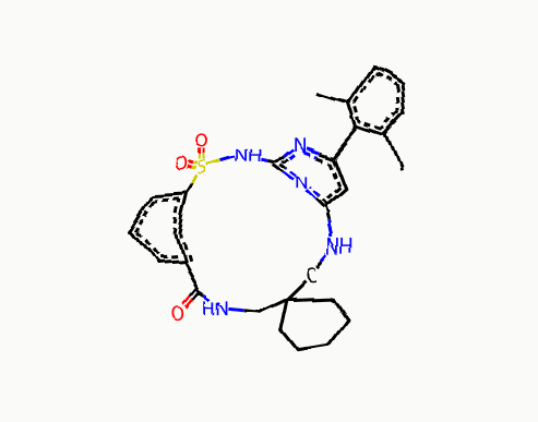 Cc1cccc(C)c1-c1cc2nc(n1)NS(=O)(=O)c1cccc(c1)C(=O)NCC1(CCCCC1)CN2